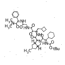 CC1C[C@H]2CN(C(=O)[C@@H](NC(=O)OC(C)(C)C)C3CCCCC3)[C@H](C(=O)N[C@H](CC3CCC3)C(=O)C(=O)NCC(=O)N[C@H](C(=O)N(C)C)c3ccccc3)[C@H]2C1